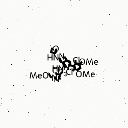 COCCN1N=CC(CNc2nc(-c3c(Cl)c(OC)cc(OC)c3Cl)cc3cnc(NC4CCOC4)cc23)C1C